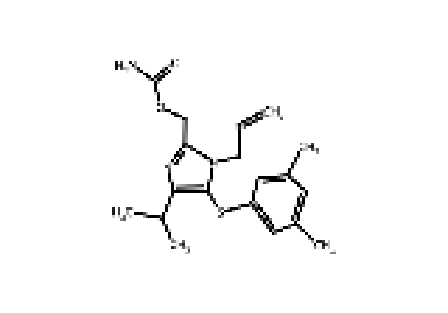 C=CCn1c(COC(N)=O)nc(C(C)C)c1Sc1cc(C)cc(C)c1